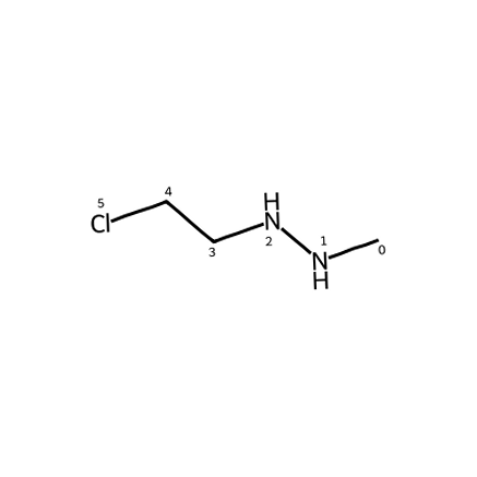 CNNCCCl